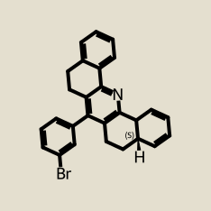 Brc1cccc(-c2c3c(nc4c2CC[C@H]2C=CC=CC42)-c2ccccc2CC3)c1